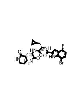 NC(=O)[C@H](C[C@@H]1CCCNC1=O)NC(=O)[C@H](CC1CC1)NC(=O)c1cc2c(F)ccc(Br)c2[nH]1